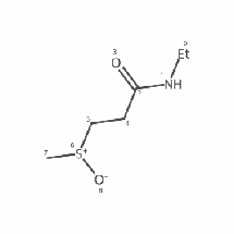 CCNC(=O)CC[S+](C)[O-]